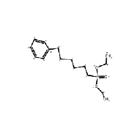 CCOP(=O)(CCCCCCc1ccccc1)OCC